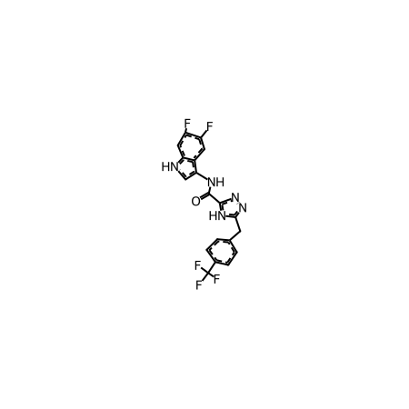 O=C(Nc1c[nH]c2cc(F)c(F)cc12)c1nnc(Cc2ccc(C(F)(F)F)cc2)[nH]1